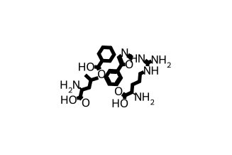 CC(C)C[C@H](N)C(=O)O.N=C(N)NCCC[C@H](N)C(=O)O.O=C(O)C1CCCCC1.c1ccc(-c2cnco2)cc1